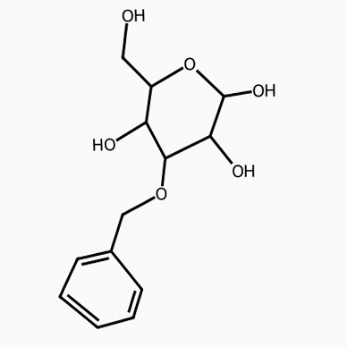 OCC1OC(O)C(O)C(OCc2ccccc2)C1O